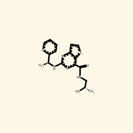 C[C@H](O)CNC(=O)c1nc(N[C@@H](C)c2ccccn2)nc2ccsc12